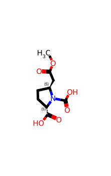 COC(=O)C[C@@H]1CC[C@@H](C(=O)O)N1C(=O)O